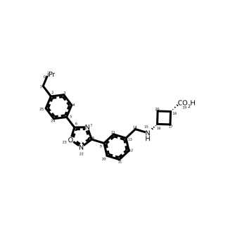 CC(C)Cc1ccc(-c2nc(-c3cccc(CN[C@H]4C[C@@H](C(=O)O)C4)c3)no2)cc1